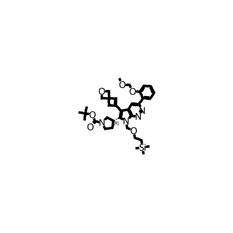 COCOc1ccccc1-c1cc2c(C3=CC4(COC4)C3)c([C@@H]3CCN(C(=O)OC(C)(C)C)C3)n(COCC[Si](C)(C)C)c2nn1